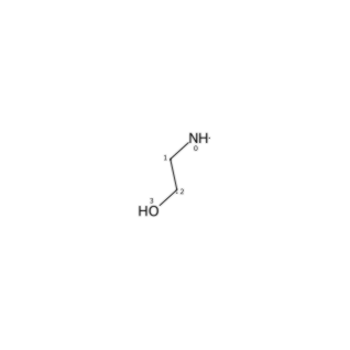 [NH]C[CH]O